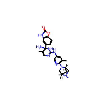 CC1=CN=C(Nc2cnc(N3C[C@@H]4C[C@H]3CN4C)c(C)c2)NC1(N)c1ccc2oc(=O)[nH]c2c1